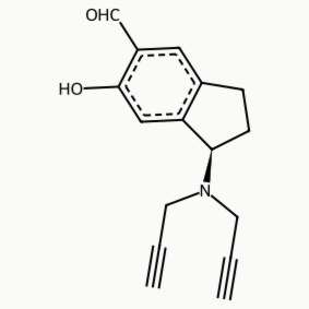 C#CCN(CC#C)[C@@H]1CCc2cc(C=O)c(O)cc21